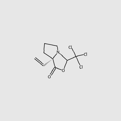 C=C[C@]12CCCN1C(C(Cl)(Cl)Cl)OC2=O